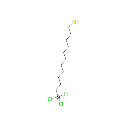 SCCCCCCCCCCC[Si](Cl)(Cl)Cl